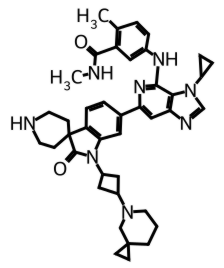 CNC(=O)c1cc(Nc2nc(-c3ccc4c(c3)N(C3CC(N5CCCC6(CC6)C5)C3)C(=O)C43CCNCC3)cc3ncn(C4CC4)c23)ccc1C